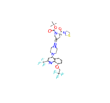 CC(C)(C)OC(=O)N1C[C@@H](N2CCN(c3cc(C(F)(F)F)nc4c(OCC(F)(F)F)cccc34)CC2)C[C@H]1C(=O)N1CCSC1